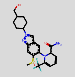 C[S+]([O-])c1cc2nn(C3CCC(CO)CC3)cc2cc1N1C(C(F)(F)F)=CC=CC1C(N)=O